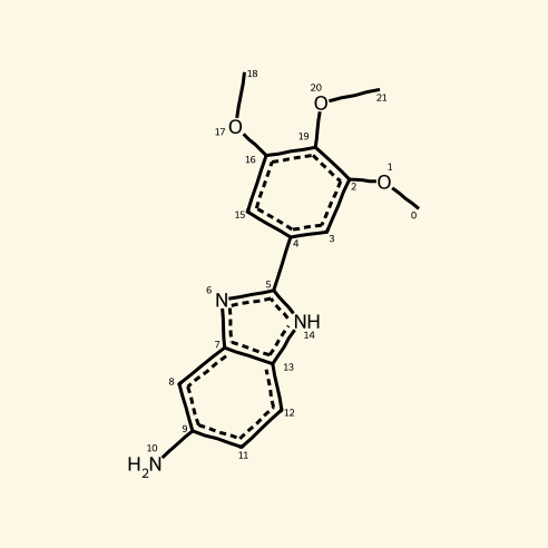 COc1cc(-c2nc3cc(N)ccc3[nH]2)cc(OC)c1OC